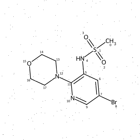 CS(=O)(=O)Nc1cc(Br)cnc1N1CCOCC1